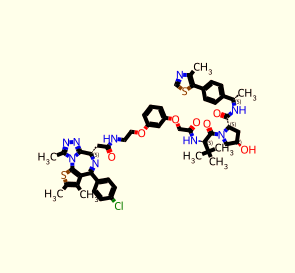 Cc1ncsc1-c1ccc([C@H](C)NC(=O)[C@@H]2C[C@@H](O)CN2C(=O)[C@@H](NC(=O)COc2cccc(OCCNC(=O)C[C@@H]3N=C(c4ccc(Cl)cc4)c4c(sc(C)c4C)-n4c(C)nnc43)c2)C(C)(C)C)cc1